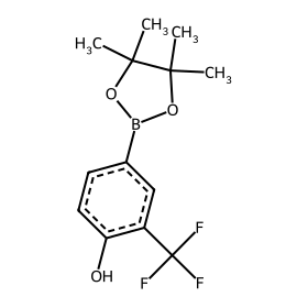 CC1(C)OB(c2ccc(O)c(C(F)(F)F)c2)OC1(C)C